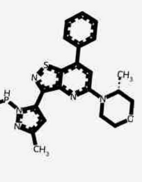 Cc1cc(-c2nsc3c(-c4ccccc4)cc(N4CCOC[C@H]4C)nc23)n(PI)n1